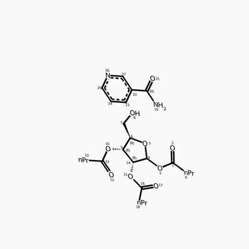 CCCC(=O)OC1O[C@H](CO)[C@@H](OC(=O)CCC)[C@H]1OC(=O)CCC.NC(=O)c1cccnc1